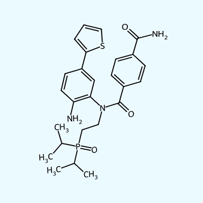 CC(C)P(=O)(CCN(C(=O)c1ccc(C(N)=O)cc1)c1cc(-c2cccs2)ccc1N)C(C)C